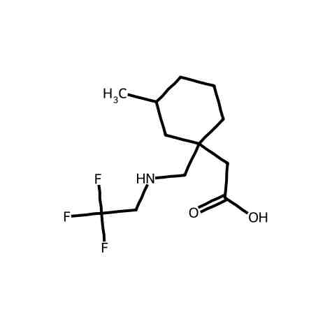 CC1CCCC(CNCC(F)(F)F)(CC(=O)O)C1